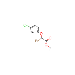 CCOC(=O)C(Br)Oc1ccc(Cl)cc1